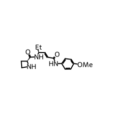 CC[C@@H](/C=C/C(=O)Nc1ccc(OC)cc1)NC(=O)[C@@H]1CCN1